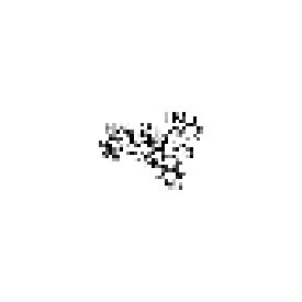 Cc1c(O)cccc1C(=O)N[C@@H](Cc1ccccc1)[C@H](O)C(=O)N1CSC2(C)[C@H]1C(=O)N2[C@H](C)c1ccccc1